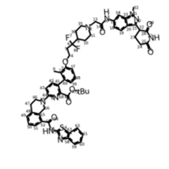 Cc1c(OCCC(F)(F)C2CCN(CC(=O)Nc3ccc4c(C5CCC(=O)NC5=O)nn(C)c4c3)CC2)cccc1-c1ccc(N2CCc3cccc(C(=O)Nc4nc5ccccc5s4)c3C2)nc1C(=O)OC(C)(C)C